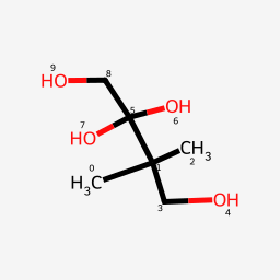 CC(C)(CO)C(O)(O)CO